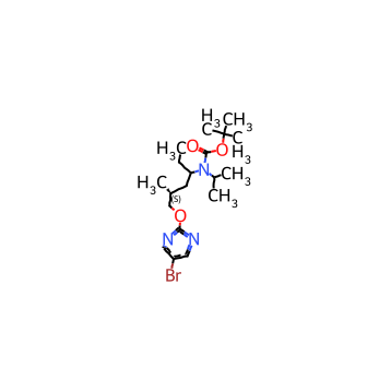 CCC(C[C@H](C)COc1ncc(Br)cn1)N(C(=O)OC(C)(C)C)C(C)C